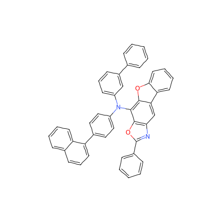 c1ccc(-c2cccc(N(c3ccc(-c4cccc5ccccc45)cc3)c3c4oc(-c5ccccc5)nc4cc4c3oc3ccccc34)c2)cc1